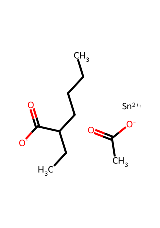 CC(=O)[O-].CCCCC(CC)C(=O)[O-].[Sn+2]